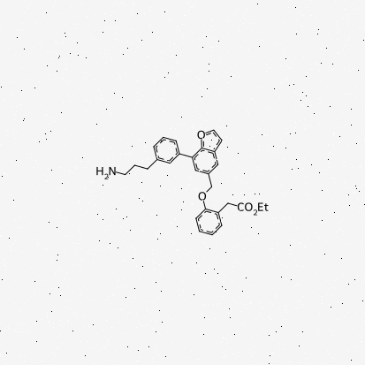 CCOC(=O)Cc1ccccc1OCc1cc(-c2cccc(CCCN)c2)c2occc2c1